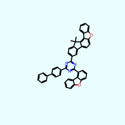 CC1(C)c2ccc(-c3nc(-c4ccc(-c5ccccc5)cc4)nc(-c4cccc5oc6ccccc6c45)n3)cc2-c2ccc3oc4ccccc4c3c21